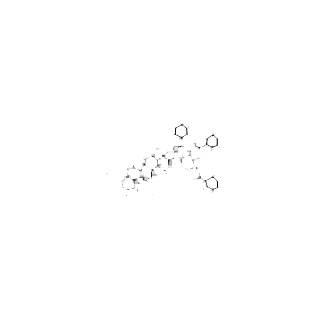 C[C@H]1[C@H](C)CC[C@]2(C(=O)O)CC[C@]3(C)C(=CC[C@@H]4[C@@]5(C)CC[C@H](O[C@@H]6OC[C@H](OC(=O)c7ccccc7)[C@H](OC(=O)c7ccccc7)[C@H]6OC(=O)c6ccccc6)C(C)(C)C5CC[C@]43C)[C@H]12